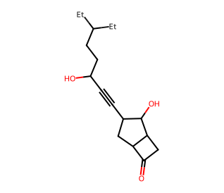 CCC(CC)CCC(O)C#CC1CC2C(=O)CC2C1O